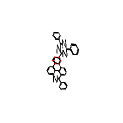 c1ccc(-c2nc(-c3ccccc3)nc(-c3ccc(-c4cccc5nc(-c6ccccc6)c6cccc(-c7ccccc7)c6c45)cc3)n2)cc1